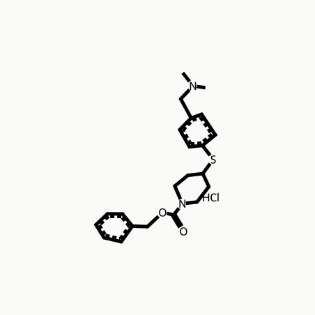 CN(C)Cc1ccc(SC2CCN(C(=O)OCc3ccccc3)CC2)cc1.Cl